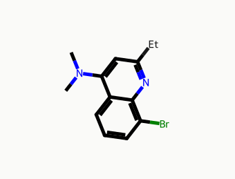 CCc1cc(N(C)C)c2cccc(Br)c2n1